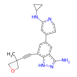 CC1(C#Cc2cc(-c3ccnc(NC4CC4)c3)cc3c(N)n[nH]c23)COC1